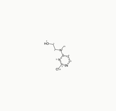 CN(CCO)c1ccnc(Cl)n1